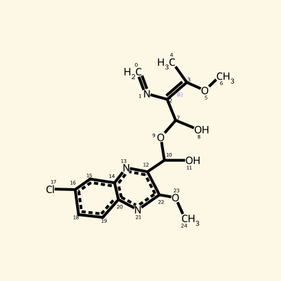 C=N/C(=C(\C)OC)C(O)OC(O)c1nc2cc(Cl)ccc2nc1OC